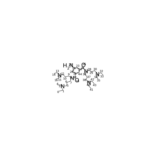 CCN(CC)CCCN(CCCN(CC)CC)C(=O)c1cc(N)cc(C(=O)N(CCCN(CC)CC)CCCN(CC)CC)c1